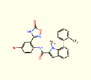 Cn1c(C(=O)Nc2ccc(Br)cc2-c2noc(=O)[nH]2)cc2cccc(-c3ccccc3C(F)(F)F)c21